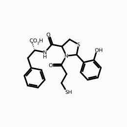 O=C(N[C@H](Cc1ccccc1)C(=O)O)C1CSC(c2ccccc2O)N1C(=O)CCS